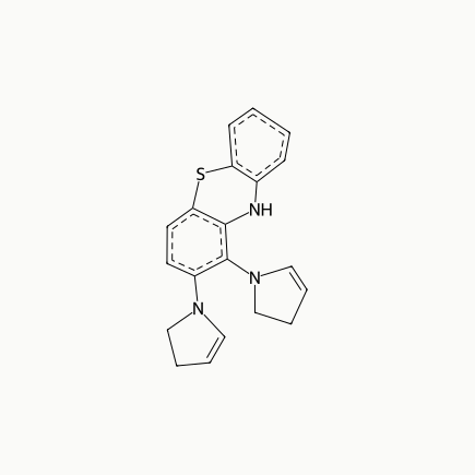 C1=CN(c2ccc3c(c2N2C=CCC2)Nc2ccccc2S3)CC1